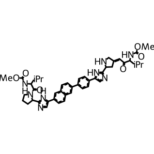 COC(=O)NC(C(=O)C=C1CNC(c2ncc(-c3ccc(-c4ccc5cc(-c6cnc(C7CCCN7C(=O)C(NC(=O)OC)C(C)C)[nH]6)ccc5c4)cc3)[nH]2)C1)C(C)C